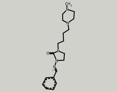 CN1CCN(CCCCN2CCN(/N=C/c3ccccc3)C2=O)CC1